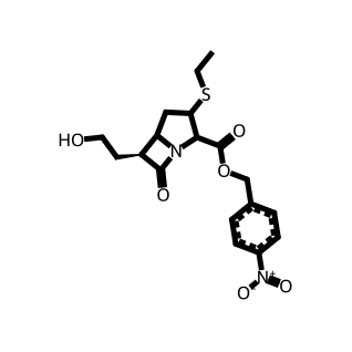 CCSC1CC2[C@H](CCO)C(=O)N2C1C(=O)OCc1ccc([N+](=O)[O-])cc1